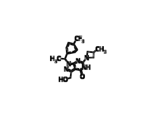 CC1CN(c2nc3c(c(CO)nn3C(C)c3ccc(C(F)(F)F)cc3)c(=O)[nH]2)C1